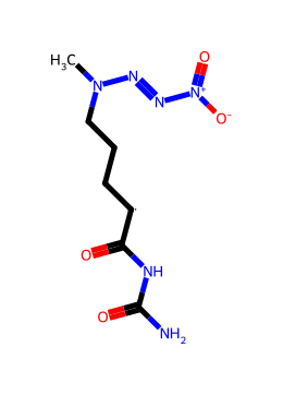 CN(CCC[CH]C(=O)NC(N)=O)N=N[N+](=O)[O-]